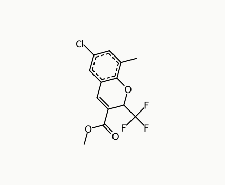 COC(=O)C1=Cc2cc(Cl)cc(C)c2OC1C(F)(F)F